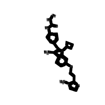 CC(C)NC(=O)Nc1ccc(-c2c(N)c3ccc(OCCc4nccn4C)cc3n2C2CCC2)cc1